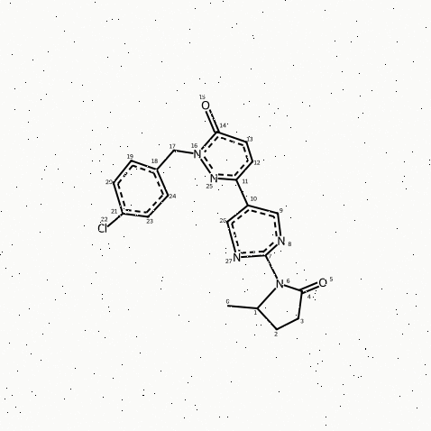 CC1CCC(=O)N1c1ncc(-c2ccc(=O)n(Cc3ccc(Cl)cc3)n2)cn1